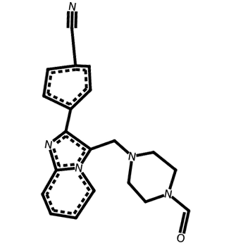 N#Cc1ccc(-c2nc3ccccn3c2CN2CCN(C=O)CC2)cc1